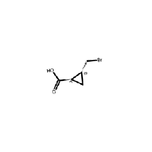 O=C(O)[C@@H]1C[C@H]1CBr